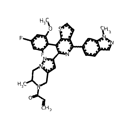 C=CC(=O)N1Cc2cc(-c3nc(-c4ccc5cnn(C)c5c4)c4ccsc4c3-c3c(F)cc(F)cc3OC)nn2CC1C